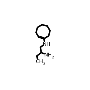 CCC(N)CN/C1=C/CCCCCC1